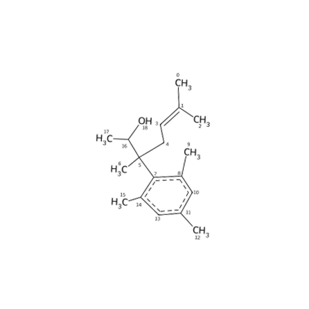 CC(C)=CCC(C)(c1c(C)cc(C)cc1C)C(C)O